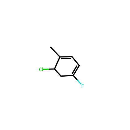 CC1=CC=C(F)CC1Cl